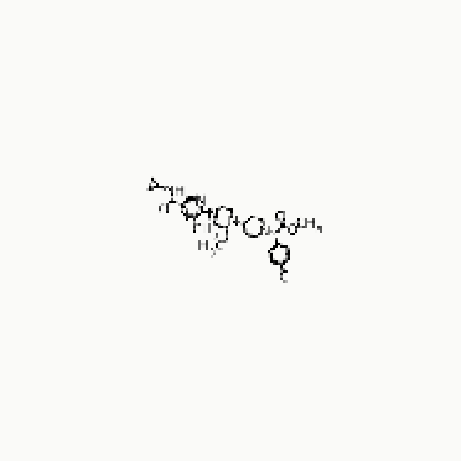 CC[C@H]1CN(c2ncc(C(=O)NC3CC3)nc2C)CCN1C1CCN([C@@H](C(=O)OC)c2ccc(Cl)cc2)CC1